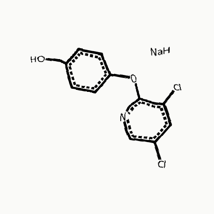 Oc1ccc(Oc2ncc(Cl)cc2Cl)cc1.[NaH]